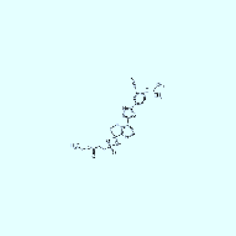 CCOC(=O)CCS(=O)(=O)N[C@H]1CCCc2c(-c3nnc(-c4ccc(OC(C)C)c(C#N)c4)s3)cccc21